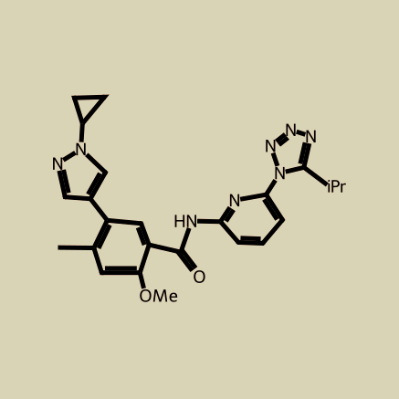 COc1cc(C)c(-c2cnn(C3CC3)c2)cc1C(=O)Nc1cccc(-n2nnnc2C(C)C)n1